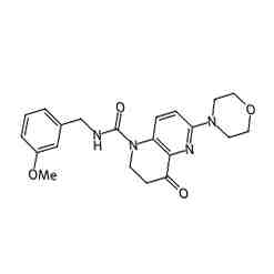 COc1cccc(CNC(=O)N2CCC(=O)c3nc(N4CCOCC4)ccc32)c1